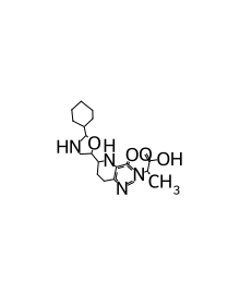 C[C@H](C(=O)O)n1cnc2c(c1=O)NC(C1CNC(C3CCCCC3)O1)CC2